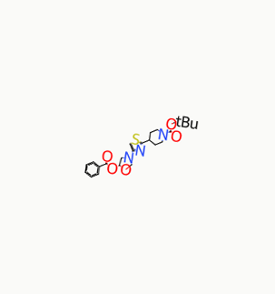 CC(C)(C)OC(=O)N1CCC(c2nc(N3COC(OC(=O)c4ccccc4)C3)cs2)CC1